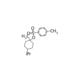 Cc1ccc(S(=O)(=O)OC2(C)CCC(C(C)C)CC2)cc1